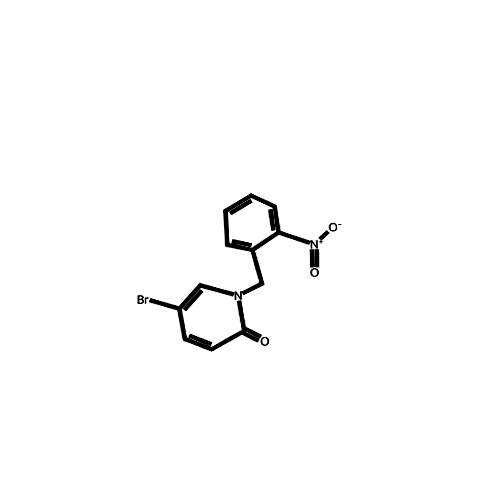 O=c1ccc(Br)cn1Cc1ccccc1[N+](=O)[O-]